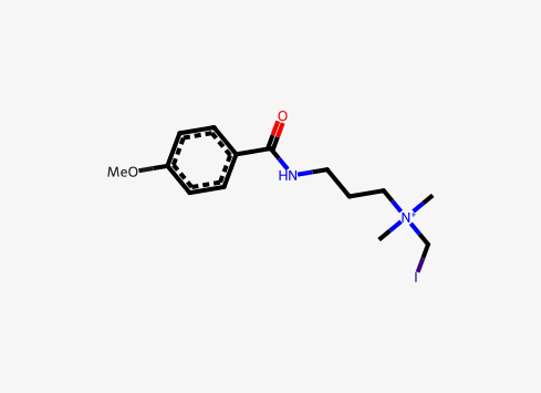 COc1ccc(C(=O)NCCC[N+](C)(C)CI)cc1